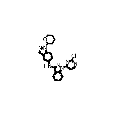 Clc1nccc(-n2nc(Nc3ccc4c(cnn4C4CCCCO4)c3)c3ccccc32)n1